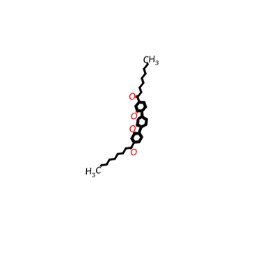 CCCCCCCCC(=O)c1ccc2c(c1)oc1c2ccc2c3ccc(C(=O)CCCCCCCC)cc3oc21